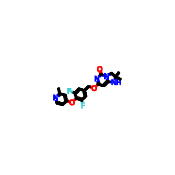 Cc1cc(Oc2c(F)cc(COc3cc4n(c(=O)n3)CC(C)(C)N4)cc2F)ccn1